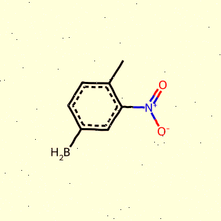 Bc1ccc(C)c([N+](=O)[O-])c1